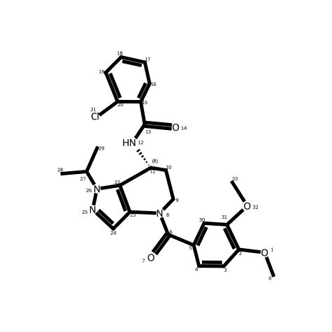 COc1ccc(C(=O)N2CC[C@@H](NC(=O)c3ccccc3Cl)c3c2cnn3C(C)C)cc1OC